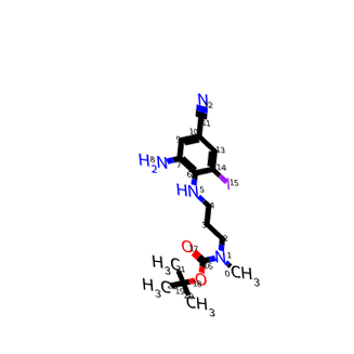 CN(CCCNc1c(N)cc(C#N)cc1I)C(=O)OC(C)(C)C